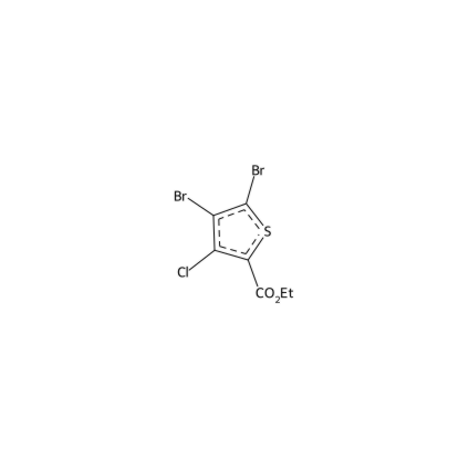 CCOC(=O)c1sc(Br)c(Br)c1Cl